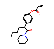 C=CC(=O)Oc1ccc(C(CCCC)C(=O)N2CCCCC2)cc1